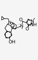 C[C@H]1CC23CCC(N(C)C(=O)c4cn(C)[nH]c4=O)C1C21CCN(CC2CC2)C3Cc2ccc(O)cc21